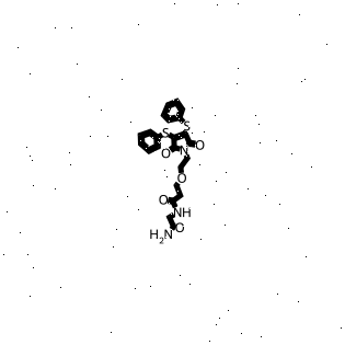 NC(=O)CNC(=O)CCOCCN1C(=O)C(Sc2ccccc2)=C(Sc2ccccc2)C1=O